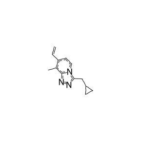 C=Cc1ccn2c(CC3CC3)nnc2c1C